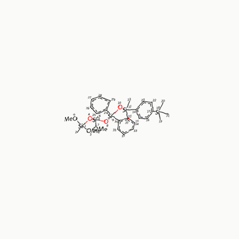 CO[Si](C)(OC)O[Si](C)(OC)O[Si](O[Si](C)(C)c1ccc([Si](C)(C)C)cc1)(c1ccccc1)c1ccccc1